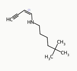 C#C/C=C\NCCCCC(C)(C)C